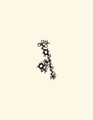 CCOC(Cc1ccc(OCCN(CCOCCCC(F)(F)F)C(=O)Nc2ccccc2C(F)(F)F)cc1)C(=O)O